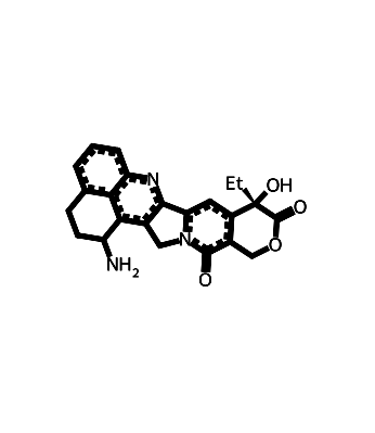 CC[C@@]1(O)C(=O)OCc2c1cc1n(c2=O)Cc2c-1nc1cccc3c1c2C(N)CC3